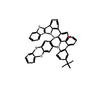 Cc1cc2c3c(c1)N(c1ccc(C(C)(C)C)cc1-c1ccccc1)c1cc4c(cc1B3n1c3c-2cccc3c2sc3ccccc3c21)Sc1ccccc1S4